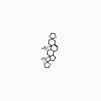 CC1(C2CCC3C4CC=C5CC6(CCC5(C)C4[C@@H](O)CC32C)OCCO6)OCCO1